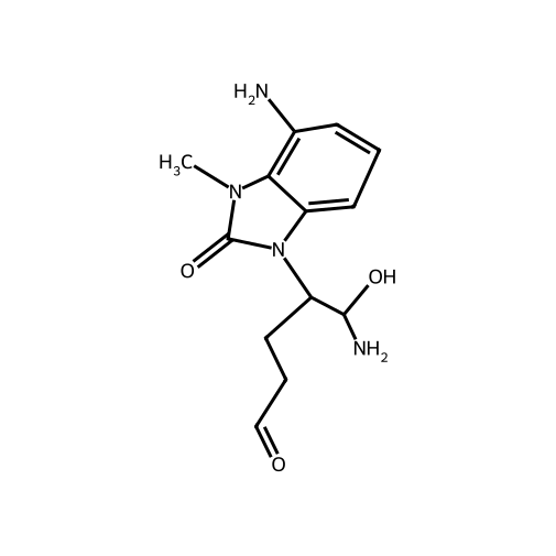 Cn1c(=O)n(C(CCC=O)C(N)O)c2cccc(N)c21